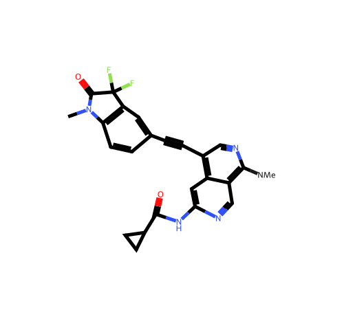 CNc1ncc(C#Cc2ccc3c(c2)C(F)(F)C(=O)N3C)c2cc(NC(=O)C3CC3)ncc12